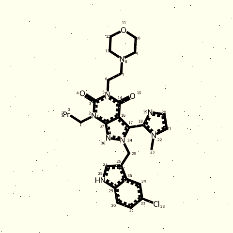 CC(C)Cn1c(=O)n(CCN2CCOCC2)c(=O)c2c(-c3nccn3C)n(Cc3c[nH]c4ccc(Cl)cc34)nc21